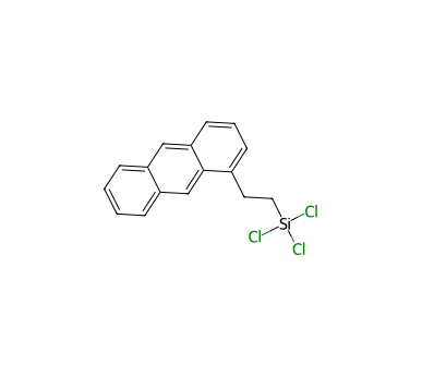 Cl[Si](Cl)(Cl)CCc1cccc2cc3ccccc3cc12